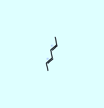 C/C=C/C=C/C